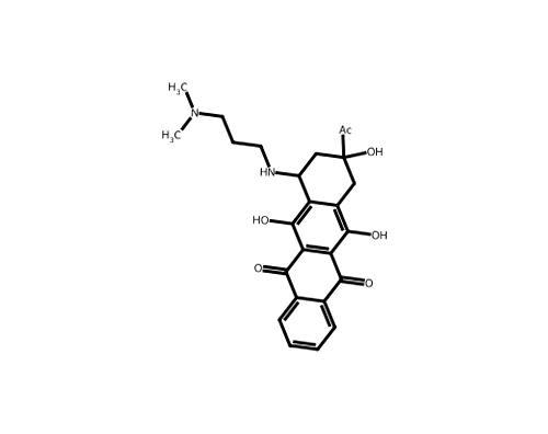 CC(=O)C1(O)Cc2c(O)c3c(c(O)c2C(NCCCN(C)C)C1)C(=O)c1ccccc1C3=O